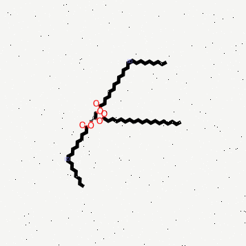 CCCCCCC/C=C\CCCCCCCC(=O)OC[C@H](COC(=O)CCCCCCCCCCC/C=C\CCCCCCCC)OC(=O)CCCCCCCCCCCCCCCCCC